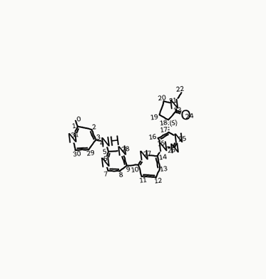 Cc1cc(Nc2nccc(-c3cccc(-n4cc([C@@H]5CCN(C)C5=O)nn4)n3)n2)ccn1